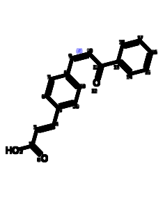 O=C(O)C=Cc1ccc(/C=C\C(=O)c2ccccc2)cc1